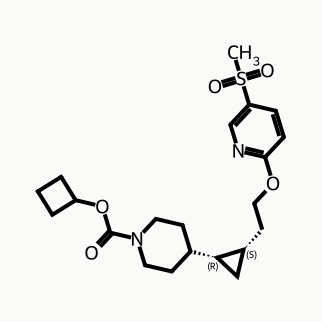 CS(=O)(=O)c1ccc(OCC[C@@H]2C[C@@H]2C2CCN(C(=O)OC3CCC3)CC2)nc1